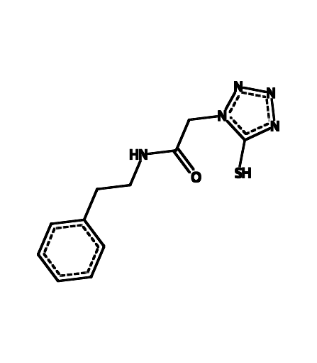 O=C(Cn1nnnc1S)NCCc1ccccc1